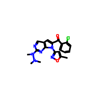 Cc1cc(-n2c(C(=O)c3ccccc3Cl)cc3cnc(N(C)N(C)C)nc32)no1